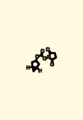 O=C(OC1C[C@@H]2C[C@@H]2C1)ON1C(=O)CCC1=O